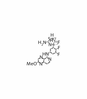 COc1cnc2c(Nc3cc(F)c(F)c([C@@]4(CF)N=C(N)S[C@H]5C[C@H]54)c3)nccc2n1